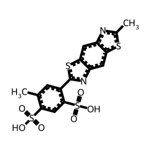 Cc1nc2cc3sc(-c4cc(C)c(S(=O)(=O)O)cc4S(=O)(=O)O)nc3cc2s1